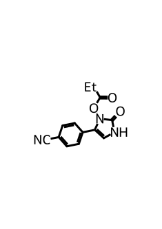 CCC(=O)On1c(-c2ccc(C#N)cc2)c[nH]c1=O